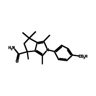 Cc1c2c(c(C)n1-c1ccc(C(=O)O)cc1)C(C)(C(N)=O)CC2(C)C